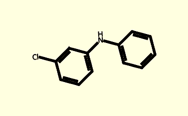 Clc1[c]c(Nc2ccccc2)ccc1